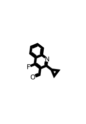 O=Cc1c(C2CC2)nc2ccccc2c1F